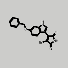 O=C1NC(=O)C(c2c[nH]c3cc(OCc4ccccc4)ccc23)=C1Br